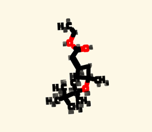 CCOC(=O)C=C1CC(C)(O[Si](C)(C)C(C)(C)C)C1